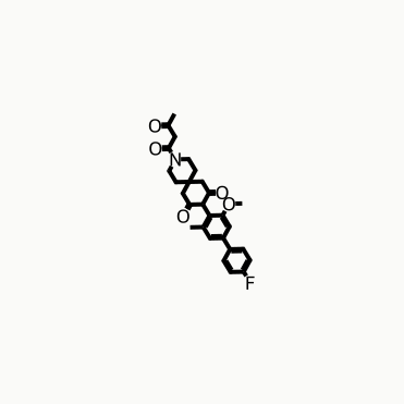 COc1cc(-c2ccc(F)cc2)cc(C)c1C1C(=O)CC2(CCN(C(=O)CC(C)=O)CC2)CC1=O